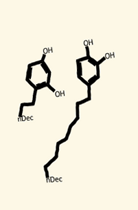 CCCCCCCCCCCCCCCCCCc1ccc(O)c(O)c1.CCCCCCCCCCCCc1ccc(O)cc1O